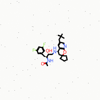 CC(=O)N[C@@H](Cc1cc(F)cc(F)c1)[C@H](O)CN[C@H]1CC2(CCCC2)Oc2ncc(CC(C)(C)C)cc21